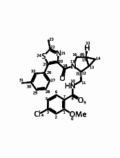 COc1cc(Cl)ccc1C(=O)NC[C@@H]1C2C[C@H]2CN1C(=O)c1nc(C)sc1-c1cccc(C)c1